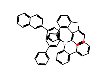 c1ccc(-c2ccc(-c3cccc4sc5cccc(N(c6ccc(-c7ccc8ccccc8c7)cc6)c6ccccc6-c6ccccc6)c5c34)cc2)cc1